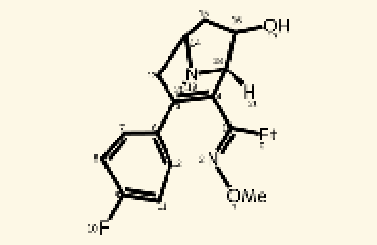 CCC(=NOC)C1=C(c2ccc(F)cc2)CC2CC(O)[C@H]1N2C